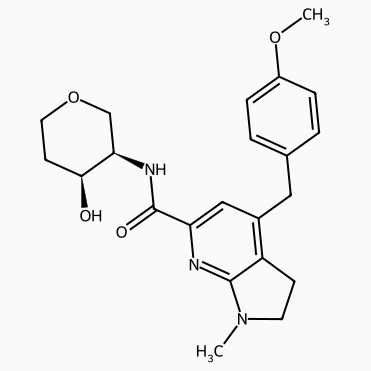 COc1ccc(Cc2cc(C(=O)N[C@@H]3COCC[C@@H]3O)nc3c2CCN3C)cc1